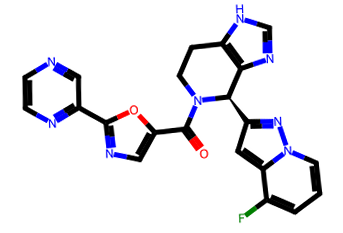 O=C(c1cnc(-c2cnccn2)o1)N1CCc2[nH]cnc2[C@H]1c1cc2c(F)cccn2n1